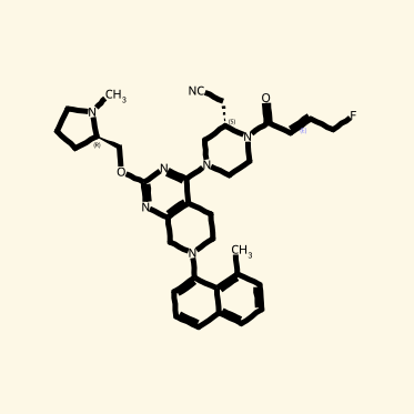 Cc1cccc2cccc(N3CCc4c(nc(OC[C@H]5CCCN5C)nc4N4CCN(C(=O)/C=C/CF)[C@@H](CC#N)C4)C3)c12